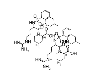 CC1CNc2c(cccc2S(=O)(=O)NC(CCCNC(=N)N)C(=O)N2CC[C@@H](C)C[C@@H]2C(=O)O)C1.CC1CNc2c(cccc2S(=O)(=O)NC(CCCNC(=N)N)C(=O)N2CC[C@@H](C)C[C@@H]2C(=O)O)C1